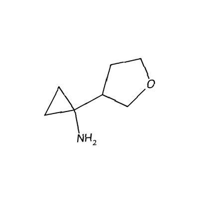 NC1(C2CCOC2)CC1